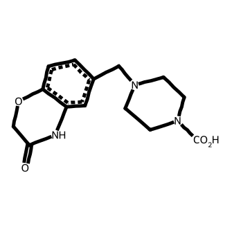 O=C1COc2ccc(CN3CCN(C(=O)O)CC3)cc2N1